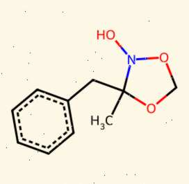 CC1(Cc2ccccc2)OCON1O